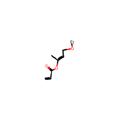 C=CC(=O)O/C(C)=C/COCC